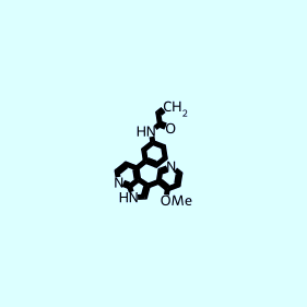 C=CC(=O)NC1CCC=C(c2ccnc3[nH]cc(-c4cnccc4OC)c23)C1